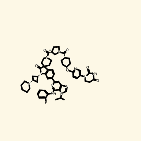 CC(C)n1cnc2cc(-c3ccc4c(c3)N([C@H]3C[C@@H](N5CCCCC5)C3)C(=O)C43CCN(C(=O)[C@@H]4CCN(C(=O)[C@H]5CC[C@H](Oc6ccc(N7CCC(=O)NC7=O)cn6)CC5)C4)CC3)nc(Nc3ccccc3F)c21